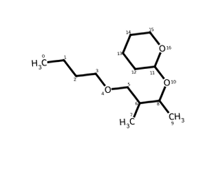 CCCCOCC(C)C(C)OC1CCCCO1